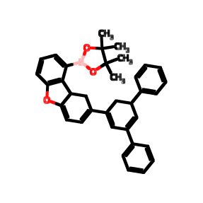 CC1(C)OB(c2cccc3c2C2CC(C4=CC(c5ccccc5)=CC(c5ccccc5)C4)=CC=C2O3)OC1(C)C